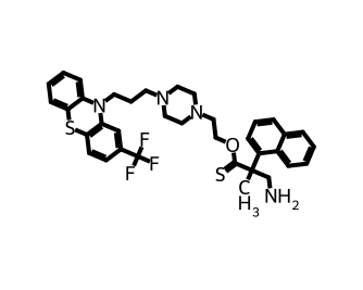 CC(CN)(C(=S)OCCN1CCN(CCCN2c3ccccc3Sc3ccc(C(F)(F)F)cc32)CC1)c1cccc2ccccc12